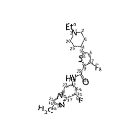 CCN1CCC(c2cc(F)c(C(=O)Nc3cc(F)c4nc(C)cn4c3)s2)CC1